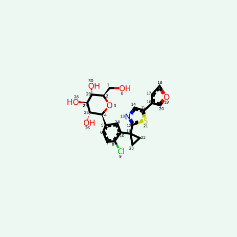 OC[C@H]1O[C@@H](c2ccc(Cl)c(C3(c4ncc(-c5ccoc5)s4)CC3)c2)[C@H](O)[C@@H](O)[C@@H]1O